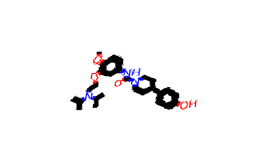 COc1ccc(NC(=O)N2CCC(c3ccc(O)cc3)CC2)cc1OCCN(C(C)C)C(C)C